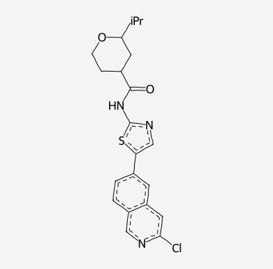 CC(C)C1CC(C(=O)Nc2ncc(-c3ccc4cnc(Cl)cc4c3)s2)CCO1